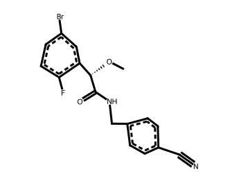 CO[C@H](C(=O)NCc1ccc(C#N)cc1)c1cc(Br)ccc1F